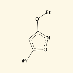 CCOc1cc(C(C)C)on1